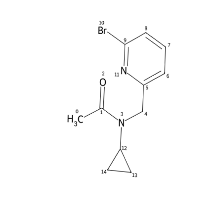 CC(=O)N(Cc1cccc(Br)n1)C1CC1